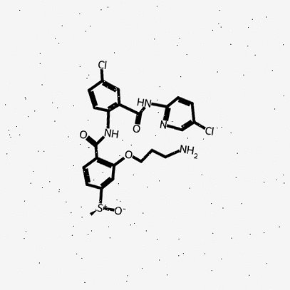 C[S@+]([O-])c1ccc(C(=O)Nc2ccc(Cl)cc2C(=O)Nc2ccc(Cl)cn2)c(OCCCN)c1